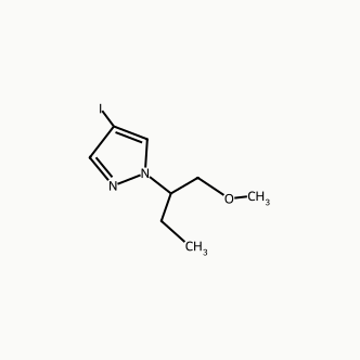 CCC(COC)n1cc(I)cn1